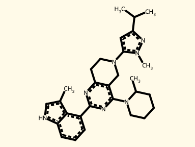 Cc1c[nH]c2cccc(-c3nc4c(c(N5CCCCC5C)n3)CN(c3cc(C(C)C)nn3C)CC4)c12